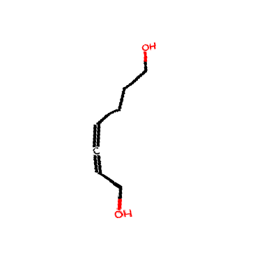 OCC=C=CCCCO